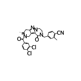 Cc1cc(CN2CCn3nc4c(c3C2=O)CN(C(=O)c2ccc(Cl)c(Cl)c2)[C@H](C)C4)ccc1C#N